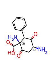 N[C@H]1CC(=O)[C@](N)(C(=O)O)C(c2ccccc2)C1=O